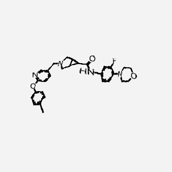 Cc1ccc(Oc2ccc(CN3CC4C(C3)C4C(=O)Nc3ccc(N4CCOCC4)c(F)c3)cn2)cc1